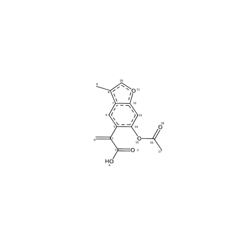 C=C(C(=O)O)c1cc2c(C)coc2cc1OC(C)=O